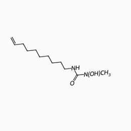 C=CCCCCCCCCNC(=O)N(C)O